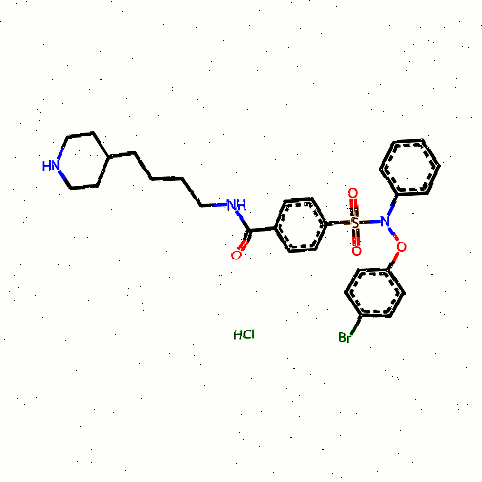 Cl.O=C(NCCCCC1CCNCC1)c1ccc(S(=O)(=O)N(Oc2ccc(Br)cc2)c2ccccc2)cc1